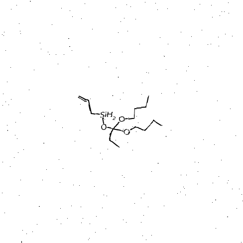 C=CC[SiH2]OC(CC)(OCCCC)OCCCC